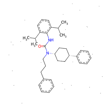 CC(C)c1cccc(C(C)C)c1NC(=O)N(CCCc1ccccc1)[C@H]1CC[C@@H](c2ccccc2)CC1